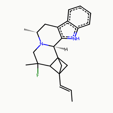 C/C=C/C12CC3(C1)C2C(C)(F)CN1[C@H](C)Cc2c([nH]c4ccccc24)[C@H]13